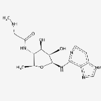 CNCC(=O)N[C@@H]1[C@@H](O)[C@@H](O)[C@@H](Nc2nccc3[nH]cnc23)O[C@H]1C